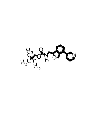 CC(C)(C)COC(=O)NCC1OCc2c(-c3cccnc3)cccc21